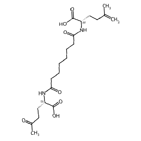 C=C(C)CC[C@H](NC(=O)CCCCCCC(=O)N[C@@H](CCC(C)=O)C(=O)O)C(=O)O